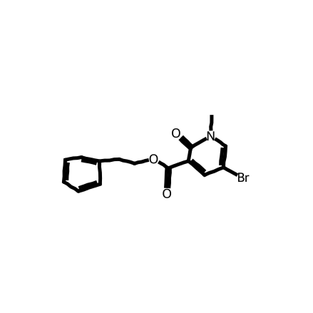 Cn1cc(Br)cc(C(=O)OCCc2ccccc2)c1=O